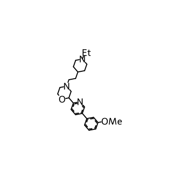 CCN1CCC(CCN2CCOC(c3ccc(-c4cccc(OC)c4)cn3)C2)CC1